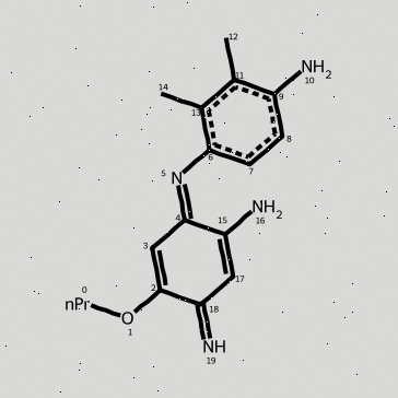 CCCOC1=C/C(=N/c2ccc(N)c(C)c2C)C(N)=CC1=N